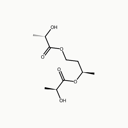 C[C@H](CCOC(=O)[C@H](C)O)OC(=O)[C@H](C)O